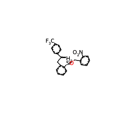 C=C(Cc1ccccc1[SiH2]OCc1ccccc1[N+](=O)[O-])c1ccc(C(F)(F)F)cc1